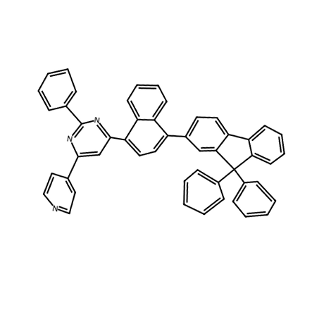 c1ccc(-c2nc(-c3ccncc3)cc(-c3ccc(-c4ccc5c(c4)C(c4ccccc4)(c4ccccc4)c4ccccc4-5)c4ccccc34)n2)cc1